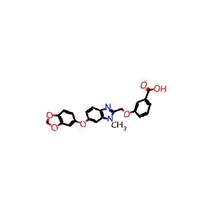 Cn1c(COc2cccc(C(=O)O)c2)nc2ccc(Oc3ccc4c(c3)OCO4)cc21